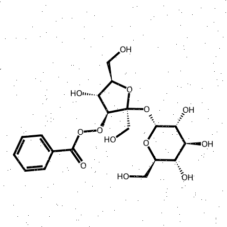 O=C(OO[C@H]1[C@H](O)[C@@H](CO)O[C@@]1(CO)O[C@H]1O[C@H](CO)[C@@H](O)[C@H](O)[C@H]1O)c1ccccc1